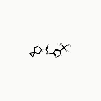 CC(C)(C)c1cc(NC(=O)[C@@H]2CC3(CC3)CN2)no1